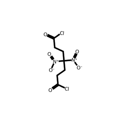 O=C(Cl)CCC(CCC(=O)Cl)([N+](=O)[O-])[N+](=O)[O-]